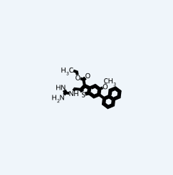 CCOC(=O)c1c(CNC(=N)N)sc2cc(-c3cccc4ccccc34)c(OC)cc12